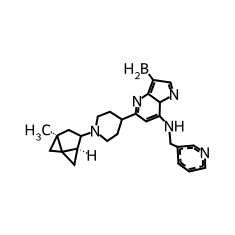 BC1=C2N=C(C3CCN(C4C[C@]5(C)CC56C[C@H]46)CC3)C=C(NCc3cccnc3)C2N=C1